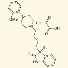 CCC1(CCCCN2CCN(c3ccccc3OC)CC2)C(=O)Nc2ccccc21.O=C(O)C(=O)O